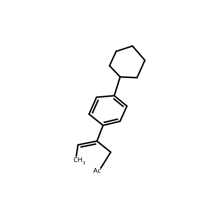 CC=C(CC(C)=O)c1ccc(C2CCCCC2)cc1